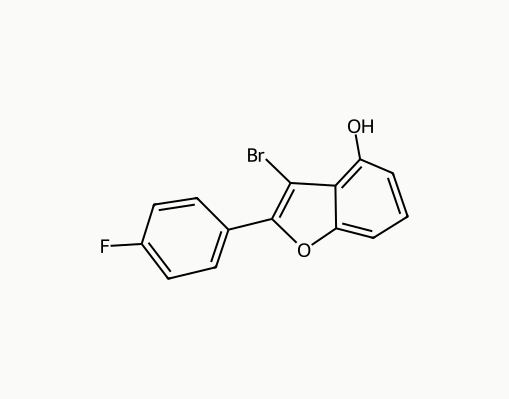 Oc1cccc2oc(-c3ccc(F)cc3)c(Br)c12